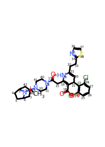 CCN1C2CCC1CC(N1CCN(C(=O)CC3=C(C(=O)O)C(c4c(Cl)cccc4Cl)C=C(CCc4nccs4)N3)CC1)C2